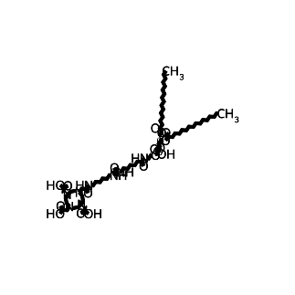 CCCCCCCCCCCCCCCC(=O)OC[C@@H](COP(=O)(O)OCCNC(=O)CCCCCNC(=O)NCCCCCCNC(=O)CN1CCN(CC(=O)O)CCN(CC(=O)O)CCN(CC(=O)O)CC1)OC(=O)CCCCCCCCCCCCCCC